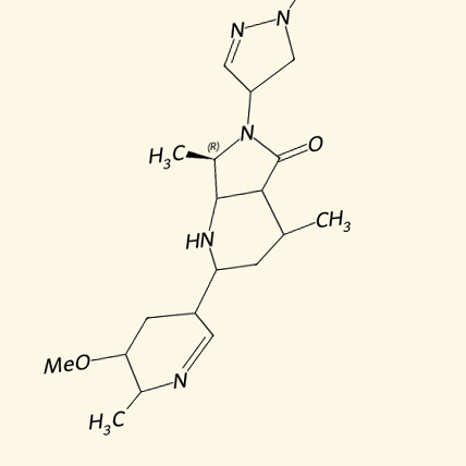 COC1CC(C2CC(C)C3C(=O)N(C4C=NN(CC(F)(F)F)C4)[C@H](C)C3N2)C=NC1C